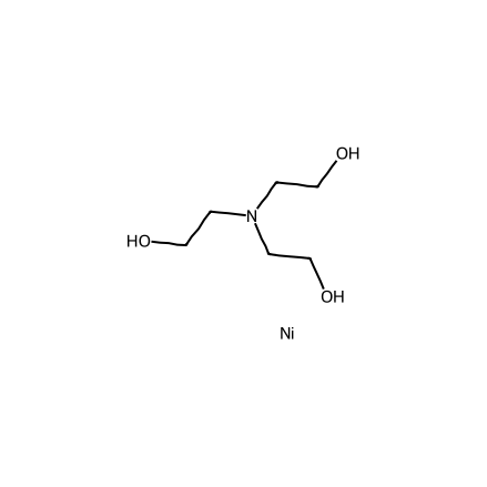 OCCN(CCO)CCO.[Ni]